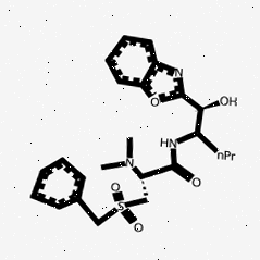 CCCC(NC(=O)[C@H](CS(=O)(=O)Cc1ccccc1)N(C)C)[C@H](O)c1nc2ccccc2o1